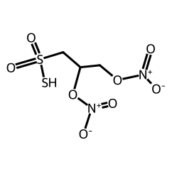 O=[N+]([O-])OCC(CS(=O)(=O)S)O[N+](=O)[O-]